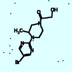 CC1CN(C(=O)CO)CCN1c1ncc(Br)cn1